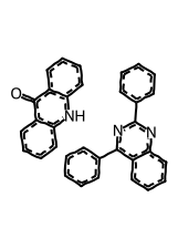 O=c1c2ccccc2[nH]c2ccccc12.c1ccc(-c2nc(-c3ccccc3)c3ccccc3n2)cc1